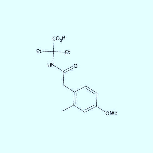 CCC(CC)(NC(=O)Cc1ccc(OC)cc1C)C(=O)O